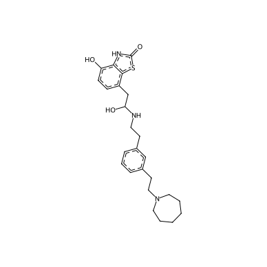 O=c1[nH]c2c(O)ccc(CC(O)NCCc3cccc(CCN4CCCCCC4)c3)c2s1